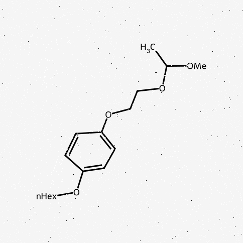 CCCCCCOc1ccc(OCCOC(C)OC)cc1